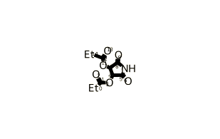 CCC(=O)OC1C(=O)NC(=O)C1OC(=O)CC